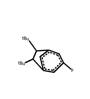 CC(C)(C)C1c2cc(F)cc(c2)C1C(C)(C)C